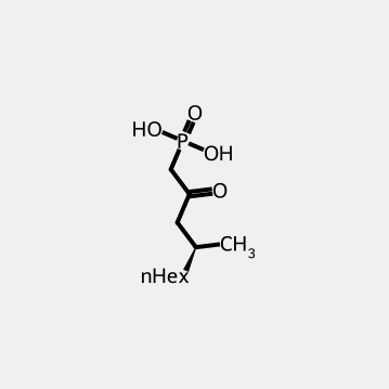 CCCCCC[C@H](C)CC(=O)CP(=O)(O)O